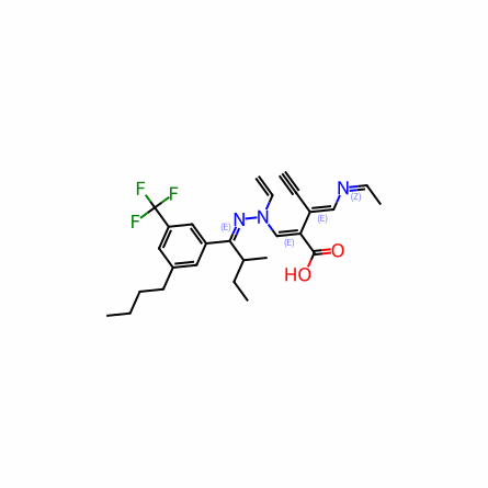 C#CC(=C\N=C/C)/C(=C\N(C=C)/N=C(/c1cc(CCCC)cc(C(F)(F)F)c1)C(C)CC)C(=O)O